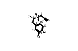 C#CC[N+](C)(C)[C@H](C)Cc1cccc(C)c1